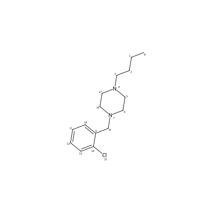 CCCCN1CCN(Cc2ccccc2Cl)CC1